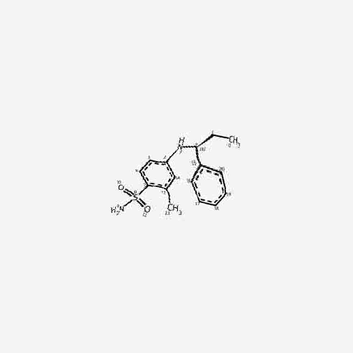 CC[C@H](Nc1ccc(S(N)(=O)=O)c(C)c1)c1ccccc1